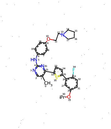 Cc1cnc(Nc2ccc(OCCN3CCCC3)cc2)nc1-c1ccc(-c2cc(OC(C)C)ccc2F)s1